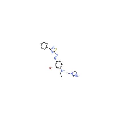 CCN(CCn1cc[n+](C)c1)c1ccc(/N=N/c2nc(-c3ccccc3)ns2)cc1.[Br-]